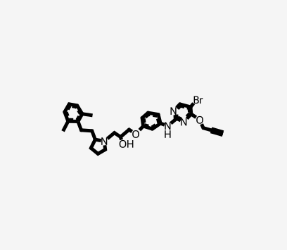 C#CCOc1nc(Nc2cccc(OCC(O)CN3CCCC3CCc3c(C)cccc3C)c2)ncc1Br